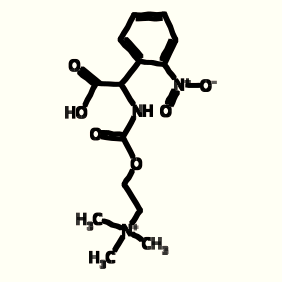 C[N+](C)(C)CCOC(=O)NC(C(=O)O)c1ccccc1[N+](=O)[O-]